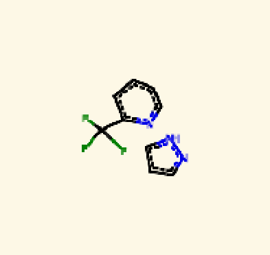 FC(F)(F)c1ccccn1.c1cn[nH]c1